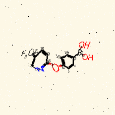 OB(O)c1ccc(Oc2ccc(C(F)(F)F)cn2)cc1